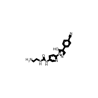 N#Cc1ccc(-c2cnn(-c3ccc(NC(=O)NCCN)cn3)c2O)cc1